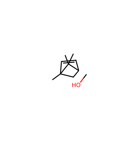 CC12C=CC(C1)C2(C)C.CO